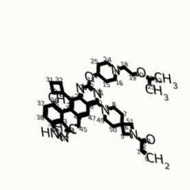 C=CC(=O)N1CC2(CCN(c3nc(OC4CCN(CCOC(C)C)CC4)nc4c(C5CCC5)c(-c5c(C)ccc6[nH]ncc56)c(C=C)cc34)CC2)C1